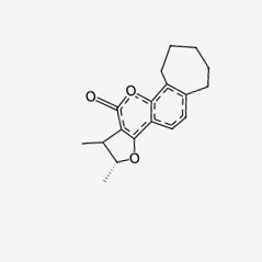 CC1c2c(c3ccc4c(c3oc2=O)CCCCC4)O[C@@H]1C